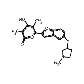 Cc1c(-c2cc3cc(OC4CCN(C)C4)ccc3o2)oc(=O)c(C)c1O